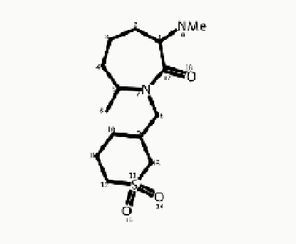 CNC1CCCC(C)N(CC2CCCS(=O)(=O)C2)C1=O